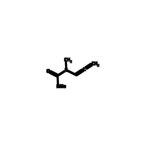 C=C=CN(C)C(=O)NC